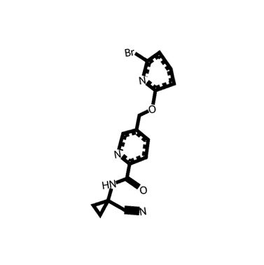 N#CC1(NC(=O)c2ccc(COc3cccc(Br)n3)cn2)CC1